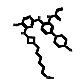 C=CC(=O)Nc1cc(N2CCN(CC)CC2)ccc1Nc1ncc(C#N)c(NC2CN(CCCCCCCCCCCCCCCC)C2)n1